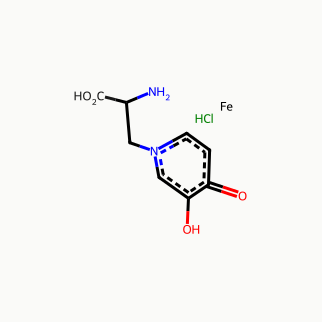 Cl.NC(Cn1ccc(=O)c(O)c1)C(=O)O.[Fe]